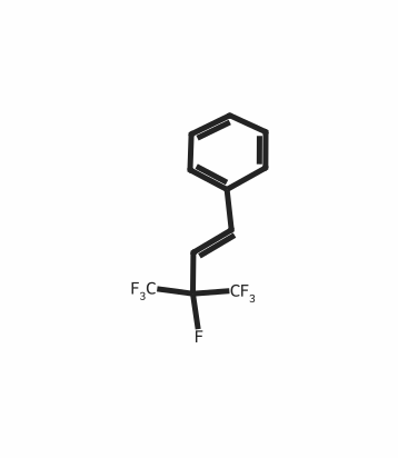 FC(F)(F)C(F)(C=Cc1ccccc1)C(F)(F)F